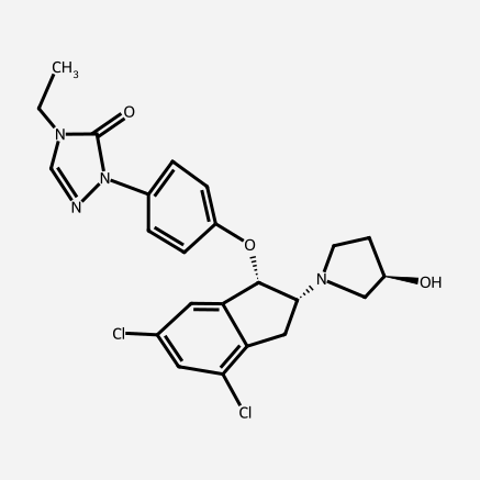 CCn1cnn(-c2ccc(O[C@H]3c4cc(Cl)cc(Cl)c4C[C@H]3N3CC[C@@H](O)C3)cc2)c1=O